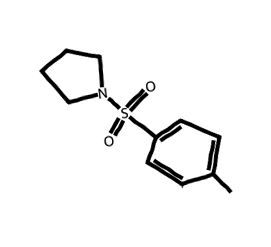 Cc1[c]cc(S(=O)(=O)N2CCCC2)cc1